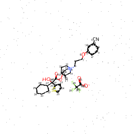 N#Cc1cccc(OCCC[N+]23CCC(CC2)[C@@H](OC(=O)[C@](O)(c2cccs2)C2CCCCC2)C3)c1.O=C([O-])C(F)(F)F